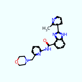 Cc1ncccc1-c1nc2c(C(=O)Nc3cccc(CN4CCOCC4)n3)cccc2[nH]1